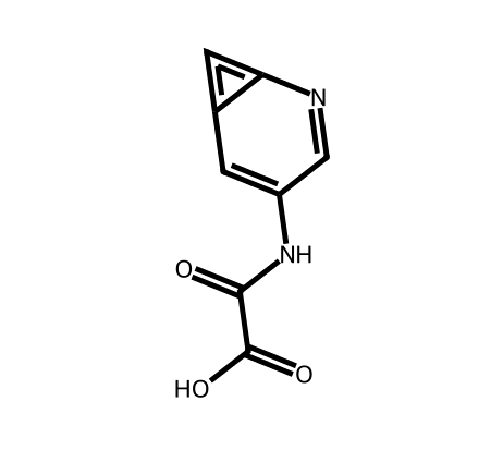 O=C(O)C(=O)Nc1cnc2c(c1)=C=2